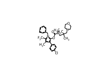 Cc1c(-c2ccc(Cl)cc2)c(OC(=O)N(C)CC(C)(C)CN2CCOCC2)n(Cc2ccccc2)c1C(F)(F)F